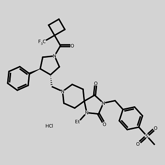 CCN1C(=O)N(Cc2ccc(S(C)(=O)=O)cc2)C(=O)C12CCN(C[C@H]1CN(C(=O)C3(C(F)(F)F)CCC3)C[C@@H]1c1ccccc1)CC2.Cl